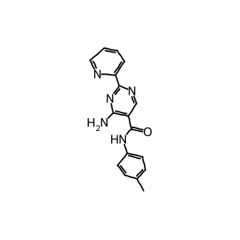 Cc1ccc(NC(=O)c2cnc(-c3ccccn3)nc2N)cc1